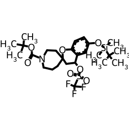 CC(C)(C)OC(=O)N1CCCC2(CC1)CC(OS(=O)(=O)C(F)(F)F)c1cc(O[Si](C)(C)C(C)(C)C)ccc1O2